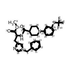 COC(=O)C(Cc1cn(Cc2ccccc2)cn1)NC(=O)C1CCN(c2cccc(SC(F)(F)F)c2)CC1